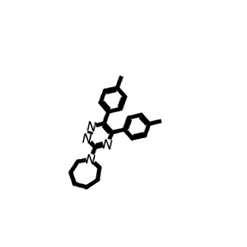 Cc1ccc(-c2nnc(N3CCCCCC3)nc2-c2ccc(C)cc2)cc1